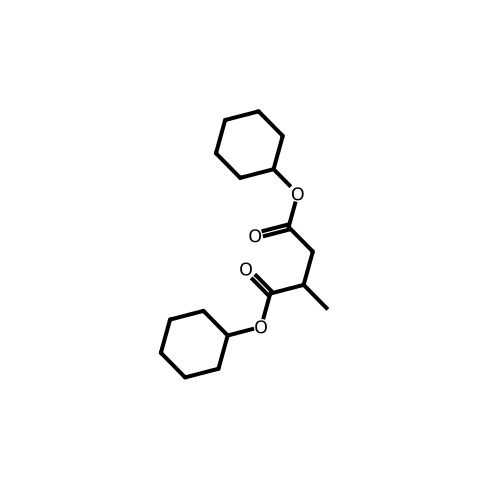 CC(CC(=O)OC1CCCCC1)C(=O)OC1CCCCC1